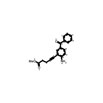 COC(=O)CCC#Cc1cc(C(=O)c2ccccc2)ccc1N